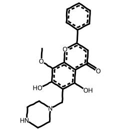 COc1c(O)c(CN2CCNCC2)c(O)c2c(=O)cc(-c3ccccc3)oc12